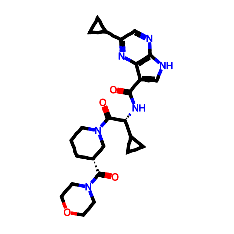 O=C(N[C@@H](C(=O)N1CCC[C@@H](C(=O)N2CCOCC2)C1)C1CC1)c1c[nH]c2ncc(C3CC3)nc12